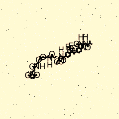 COC(=O)[C@H](CCC(=O)NCCOC(C)(C)OCCNC(=O)CCN1C(=O)C=CC1=O)NC(=O)c1ccc(N(Cc2ccc3nc(NC(=O)C(C)C)[nH]c(=O)c3c2)C(=O)C(F)(F)F)cc1